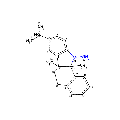 C[SiH](C)c1ccc2c(c1)C1(C)CCc3ccccc3C1(C)N2N